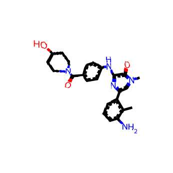 Cc1c(N)cccc1-c1cn(C)c(=O)c(Nc2ccc(C(=O)N3CCC(O)CC3)cc2)n1